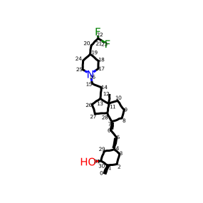 C=C1CC/C(=C/C=C2\CCCC3(C)C(CCN4CCC(CC(F)F)CC4)CCC23)CC1O